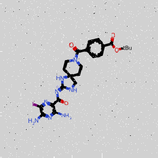 CC(C)(C)OC(=O)c1ccc(C(=O)N2CCC3(CC2)CN/C(=N\C(=O)c2nc(I)c(N)nc2N)N3)cc1